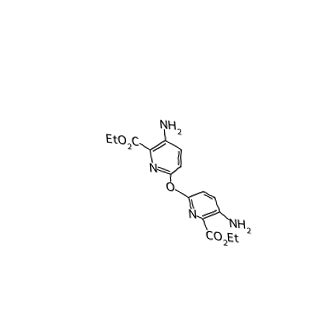 CCOC(=O)c1nc(Oc2ccc(N)c(C(=O)OCC)n2)ccc1N